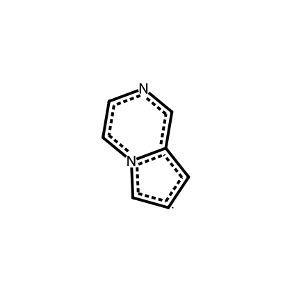 [c]1cc2cnccn2c1